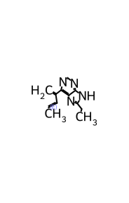 C=C(/C=C/C)c1ncnc2[nH]c(CC)nc12